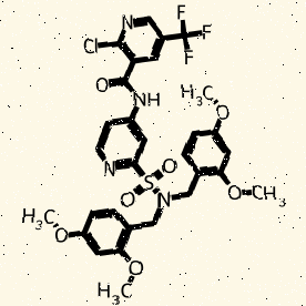 COc1ccc(CN(Cc2ccc(OC)cc2OC)S(=O)(=O)c2cc(NC(=O)c3cc(C(F)(F)F)cnc3Cl)ccn2)c(OC)c1